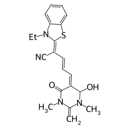 C=C1N(C)C(=O)\C(=C/C=C/C(C#N)=C2\Sc3ccccc3N2CC)C(O)N1C